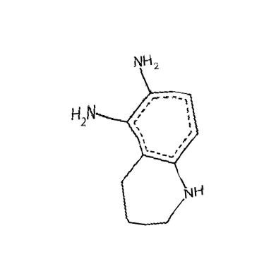 Nc1ccc2c(c1N)CCCN2